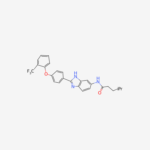 CC(C)CCC(=O)Nc1ccc2nc(-c3ccc(Oc4ccccc4C(F)(F)F)cc3)[nH]c2c1